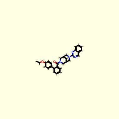 CCOc1ccc(-c2ccccc2C(=O)N2CC3CC(C2)CN(c2ncc4ccccc4n2)C3)cc1